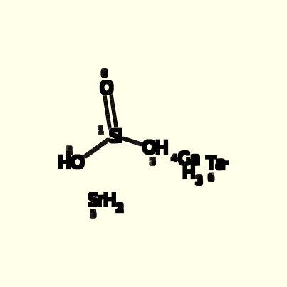 O=[Si](O)O.[GaH3].[SrH2].[Ta]